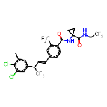 Cc1cc(C(/C=C/c2ccc(C(=O)NC3(C(=O)NCC(F)(F)F)CC3)c(C(F)(F)F)c2)C(F)(F)F)cc(Cl)c1Cl